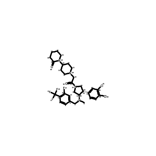 CN(Cc1ccc(C(F)(F)F)c(F)c1)[C@H]1CN(C(=O)CN2CCC(N3CCCCC3=O)CC2)C[C@@H]1c1ccc(Cl)c(Cl)c1